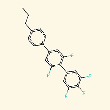 CCCc1ccc(-c2cc(F)c(-c3cc(F)c(F)c(F)c3)c(F)c2)cc1